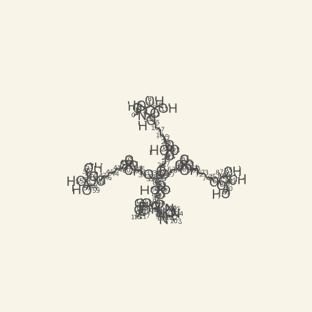 CC(=O)N[C@H]1C(O)[C@@H](O)C(CO)O[C@H]1OCCCCCCOP(=O)(O)OCCCOCC(COCCCOP(=O)(O)OCCCCCCO[C@@H]1OC(CO)[C@H](O)C(O)[C@@H]1C)(COCCCOP(=O)(O)OCCCCCCO[C@@H]1OC(CO)[C@H](O)C(O)[C@@H]1C)COP(=O)(O)OC[C@H]1O[C@@H](n2cnc3c(C)ncnc32)C[C@@H]1OP(=O)(O)OC(C)C